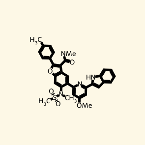 CNC(=O)c1c(-c2ccc(C)cc2)oc2cc(N(C)S(C)(=O)=O)c(-c3cc(OC)cc(-c4cc5ccccc5[nH]4)n3)cc12